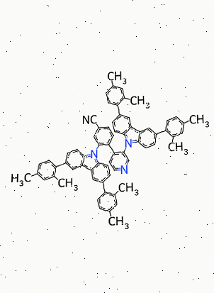 Cc1ccc(-c2ccc3c(c2)c2cc(-c4ccc(C)cc4C)ccc2n3-c2cnccc2-c2ccc(C#N)cc2-n2c3ccc(-c4ccc(C)cc4C)cc3c3cc(-c4ccc(C)cc4C)ccc32)c(C)c1